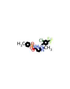 Cc1ccc(S(=O)(=O)NC(=O)c2ccc3nc(C)n(Cc4ccc(C(F)(F)F)cc4Cl)c3n2)cc1